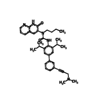 CCCCN(C(=O)Nc1c(C(C)C)cc(-c2cccc(C#CCN(C)C)c2)cc1C(C)C)c1cc2cccnc2[nH]c1=O